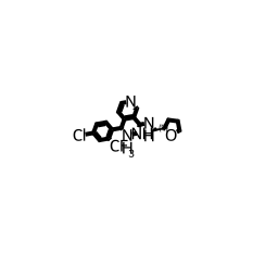 FC(F)(F)c1cc(Cl)ccc1C1NNC(NC[C@H]2CCCO2)c2cnccc21